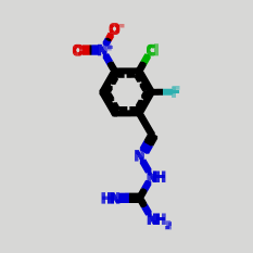 N=C(N)NN=Cc1ccc([N+](=O)[O-])c(Cl)c1F